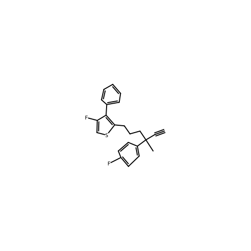 C#CC(C)(CCCc1scc(F)c1-c1ccccc1)c1ccc(F)cc1